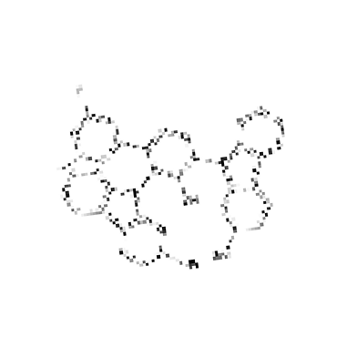 CC(C)(C)c1ccc2c3ccccc3n(-c3ccc(-c4cc(F)cc(F)c4)c(-n4c5ccccc5c5ccc(C(C)(C)C)cc54)c3C#N)c2c1